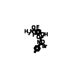 Cc1ccc(-c2nc(C(CO)Oc3ccc(F)c(C(N)=O)c3F)oc2Br)cc1